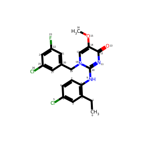 CCc1cc(Cl)ccc1Nc1nc(=O)c(OC)cn1Cc1cc(F)cc(Cl)c1